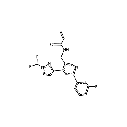 C=CC(=O)NCc1cnc(-c2cccc(F)c2)cc1-c1ccn(C(F)F)n1